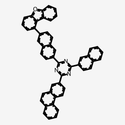 c1ccc2cc(-c3nc(-c4ccc5cc(-c6cccc7oc8ccccc8c67)ccc5c4)nc(-c4ccc5c(ccc6ccccc65)c4)n3)ccc2c1